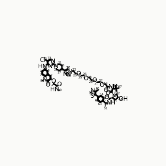 CNC(=O)COc1cc2cc(Nc3nc(N4CCC(c5cn(CCOCCOCCOCCOCC(=O)N[C@H](C(=O)N6C[C@H](O)C[C@H]6C(=O)N[C@@H](C)c6ccc(-c7scnc7C)cc6)C(C)(C)C)nn5)CC4)ncc3Cl)ccc2n(C)c1=O